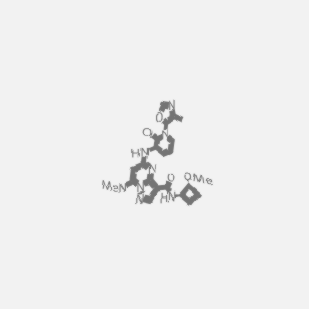 CNc1cc(Nc2cccn(-c3ocnc3C)c2=O)nc2c(C(=O)N[C@@H]3CC[C@H]3OC)cnn12